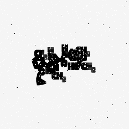 Cc1nc(-c2cc(C(F)(F)F)ccc2OCC2CC2)c2[nH]cc(C(=O)N[C@@H]3C[C@H](C)N(C(=O)[C@H](C)O)C3)c2n1